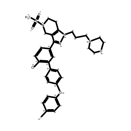 CS(=O)(=O)N1CCc2c(c(-c3ccc(Cl)c(-c4ccc(Oc5ccc(I)cc5)cc4)c3)nn2CCCN2CCOCC2)C1